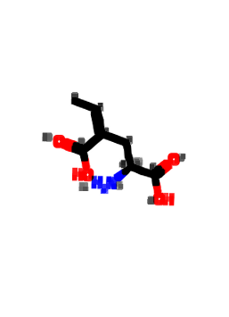 CC=C(C[C@H](N)C(=O)O)C(=O)O